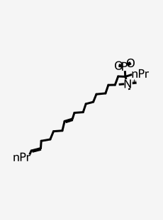 CCCC=CCCCCC=CCCCCCCCCCC(CCC)(P(=O)=O)[N+](C)(C)C